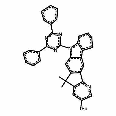 CC(C)(C)c1cnc2c(c1)C(C)(C)c1cc3c(cc1-2)c1ccccc1n3-c1nc(-c2ccccc2)nc(-c2ccccc2)n1